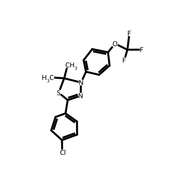 CC1(C)SC(c2ccc(Cl)cc2)=NN1c1ccc(OC(F)(F)F)cc1